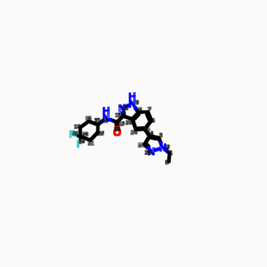 CCn1cc(-c2ccc3[nH]nc(C(=O)NC4CCC(F)(F)CC4)c3c2)cn1